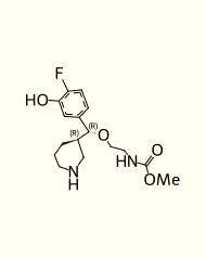 COC(=O)NCCO[C@@H](c1ccc(F)c(O)c1)[C@@H]1CCCNC1